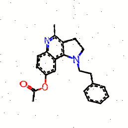 CC(=O)Oc1ccc2nc(C)c3c(c2c1)N(CCc1ccccc1)CC3